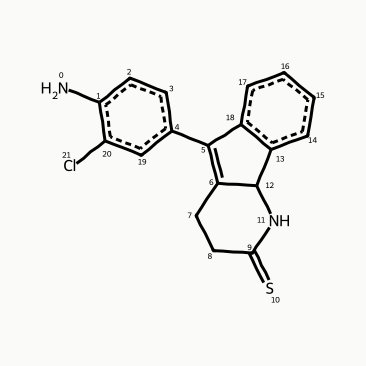 Nc1ccc(C2=C3CCC(=S)NC3c3ccccc32)cc1Cl